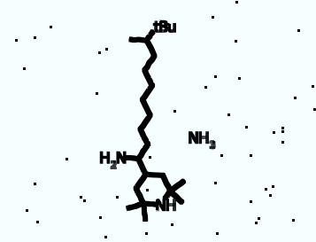 CC(CCCCCCCC(N)C1CC(C)(C)NC(C)(C)C1)C(C)(C)C.N